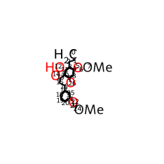 C=CCc1c(OCOC)cc2c(c1O)C(=O)CC(c1cccc(OCOC)c1)O2